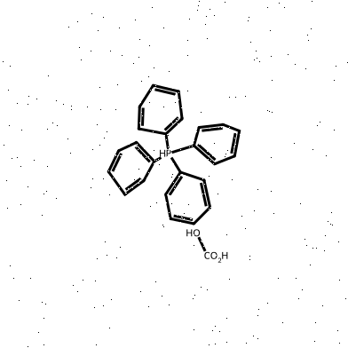 O=C(O)O.c1ccc([PH](c2ccccc2)(c2ccccc2)c2ccccc2)cc1